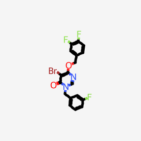 O=c1c(Br)c(OCc2ccc(F)c(F)c2)ncn1Cc1cccc(F)c1